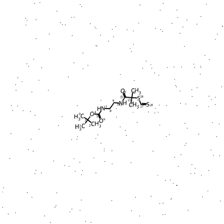 CC(C)(C)OC(=O)NCCNC(=O)C(C)(C)SC=S